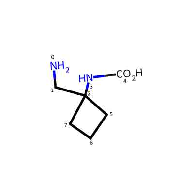 NCC1(NC(=O)O)CCC1